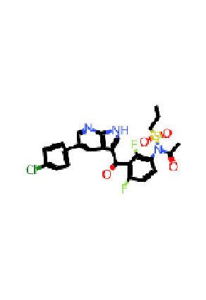 CCCS(=O)(=O)N(C(C)=O)c1ccc(F)c(C(=O)c2c[nH]c3ncc(-c4ccc(Cl)cc4)cc23)c1F